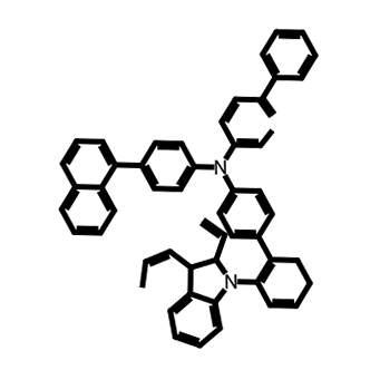 C=CC1C(/C=C\C)c2ccccc2N1C1=C(c2ccc(N(C(/C=C\C(=C)c3ccccc3)=C/C)c3ccc(-c4cccc5ccccc45)cc3)cc2)CCC=C1